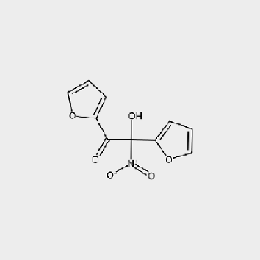 O=C(c1ccco1)C(O)(c1ccco1)[N+](=O)[O-]